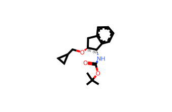 CC(C)(C)OC(=O)N[C@H]1c2ccccc2C[C@@H]1OCC1CC1